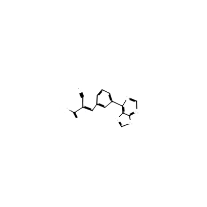 N#C/C(=C\c1cccc(-c2ncnc3[nH]cnc23)c1)C(N)=O